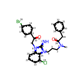 CN(CCCn1c(=N)n(CC(=O)c2ccc(Br)cc2)c2cccc(Cl)c21)C(=O)Cc1ccccc1